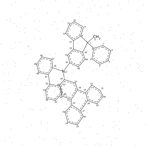 CC1(c2ccccc2)c2ccccc2-c2cc(N(c3ccc4c5ccccc5c5ccccc5c4c3)c3ccccc3-c3ccccc3)ccc21